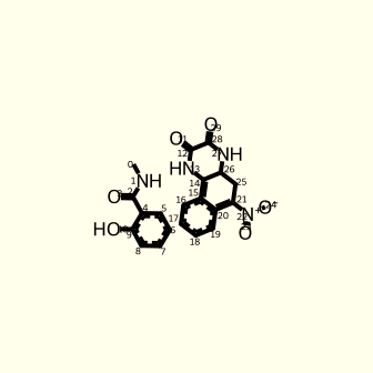 CNC(=O)c1ccccc1O.O=C1NC2=c3ccccc3=C([N+](=O)[O-])CC2NC1=O